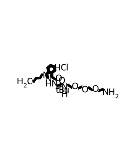 C=CCCCn1nc(C(=O)N[C@H](C(=O)NCCOCCOCCOCCN)C(C)(C)C)c2ccccc21.Cl